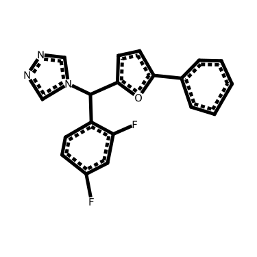 Fc1ccc(C(c2ccc(-c3ccccc3)o2)n2cnnc2)c(F)c1